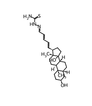 C[C@]12CC[C@H](O)C[C@H]1CC[C@@H]1[C@@H]2CC[C@]2(C)[C@@H](/C=C/C=C/C=N/NC(N)=S)CC[C@]12O